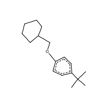 CC(C)(C)c1ccc(OCC2CCCCC2)cc1